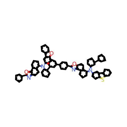 c1ccc(-c2cccc(N(c3ccc4sc5ccccc5c4c3)c3cccc4c3ccc3oc(-c5ccc(-c6cccc(-c7ccccc7N(c7ccc8oc9ccccc9c8c7)c7cccc8c7ccc7nc(-c9ccccc9)oc78)c6)cc5)nc34)c2)cc1